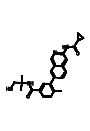 Cc1ccc(C(=O)NC(C)(C)CO)cc1-c1ccc2cc(NC(=O)C3CC3)ncc2c1